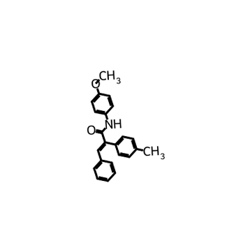 COc1ccc(NC(=O)C(=Cc2ccccc2)c2ccc(C)cc2)cc1